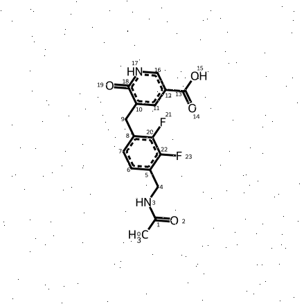 CC(=O)NCc1ccc(Cc2cc(C(=O)O)c[nH]c2=O)c(F)c1F